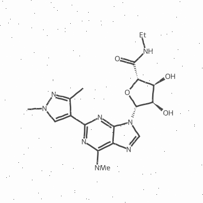 CCNC(=O)[C@H]1O[C@@H](n2cnc3c(NC)nc(-c4cn(C)nc4C)nc32)[C@H](O)[C@@H]1O